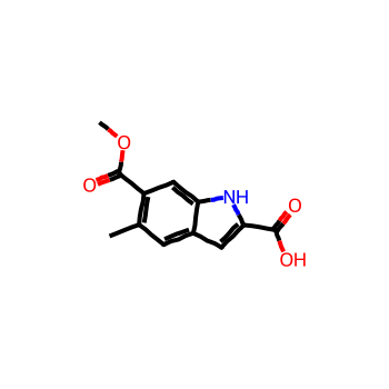 COC(=O)c1cc2[nH]c(C(=O)O)cc2cc1C